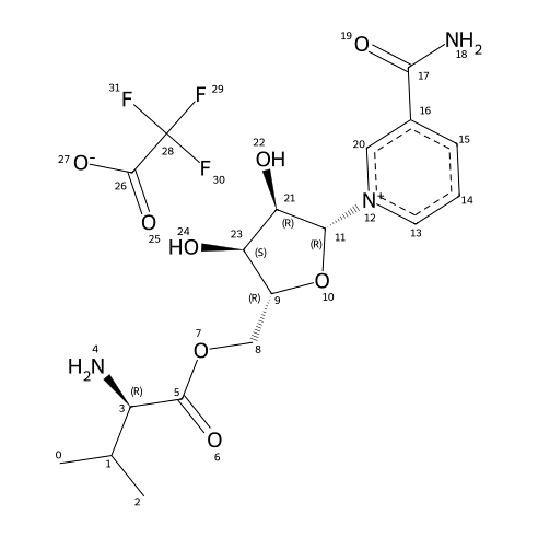 CC(C)[C@@H](N)C(=O)OC[C@H]1O[C@@H]([n+]2cccc(C(N)=O)c2)[C@H](O)[C@@H]1O.O=C([O-])C(F)(F)F